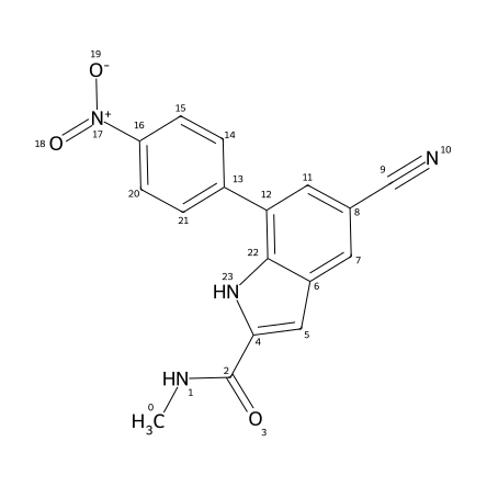 CNC(=O)c1cc2cc(C#N)cc(-c3ccc([N+](=O)[O-])cc3)c2[nH]1